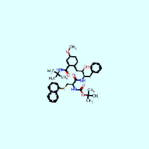 COC1CCC(CC(O)C(Cc2ccccc2)NC(=O)C(CSc2cccc3ccccc23)NC(=O)OC(C)(C)C)C(C(=O)NC(C)(C)C)C1